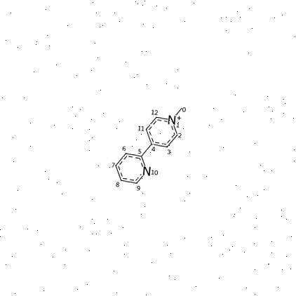 C[n+]1ccc(-c2ccccn2)cc1